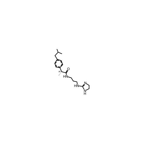 CC(C)Cc1ccc([C@@H](C)C(=O)NCCCNC2=NCCN2)cc1